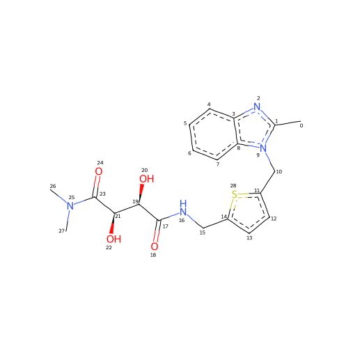 Cc1nc2ccccc2n1Cc1ccc(CNC(=O)[C@H](O)[C@@H](O)C(=O)N(C)C)s1